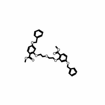 COC(=O)c1ccc(OCc2ccccc2)cc1OCCOCCOc1cc(OCc2ccccc2)ccc1C(=O)OC